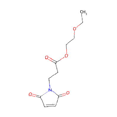 CCOCCOC(=O)CCN1C(=O)C=CC1=O